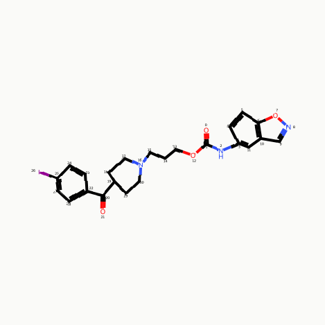 O=C(Nc1ccc2oncc2c1)OCCCN1CCC(C(=O)c2ccc(I)cc2)CC1